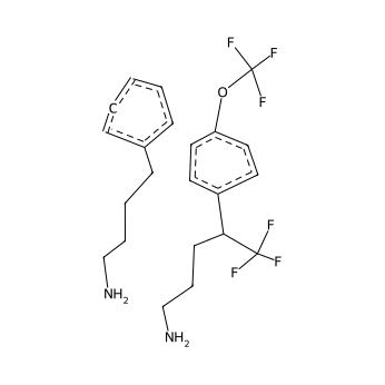 NCCCC(c1ccc(OC(F)(F)F)cc1)C(F)(F)F.NCCCCc1ccccc1